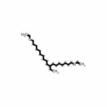 C=COCCCCCCCCCCC(CC)CCCCCCCOC=C